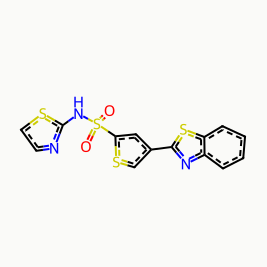 O=S(=O)(Nc1nccs1)c1cc(-c2nc3ccccc3s2)cs1